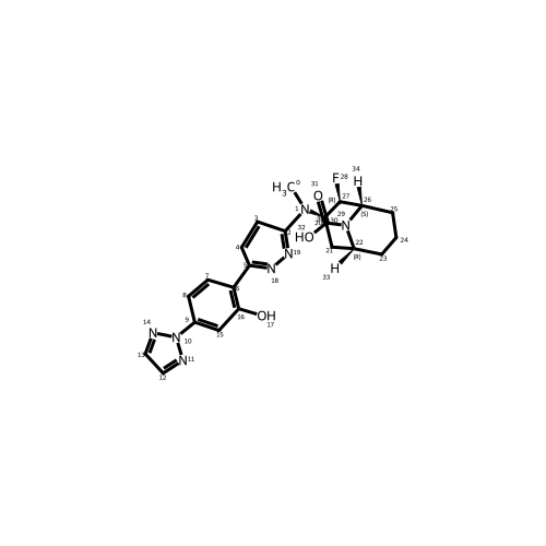 CN(c1ccc(-c2ccc(-n3nccn3)cc2O)nn1)[C@@H]1C[C@H]2CCC[C@@H]([C@@H]1F)N2C(=O)O